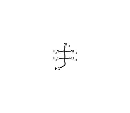 CC(C)(CO)C(N)(N)N